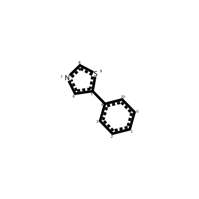 [c]1cccc(-c2cncs2)c1